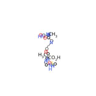 Cc1c(OC2CCC(CCCCN3CCCC(c4ccc5c(C6CCC(=O)NC6=O)nn(C)c5c4)C3)CC2)cccc1-c1ccc(N2CCc3cccc(C(=O)Nc4nc5ccccc5s4)c3C2)nc1C(=O)O